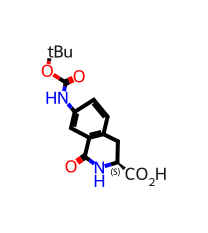 CC(C)(C)OC(=O)Nc1ccc2c(c1)C(=O)N[C@H](C(=O)O)C2